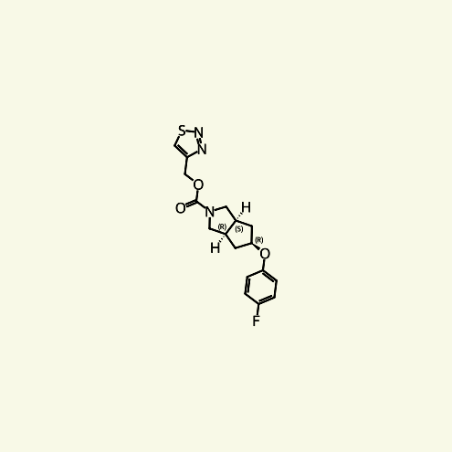 O=C(OCc1csnn1)N1C[C@H]2C[C@@H](Oc3ccc(F)cc3)C[C@H]2C1